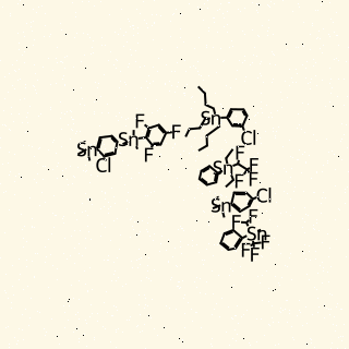 CCC[CH2][Sn]([CH2]CCC)([CH2]CCC)[c]1cccc(Cl)c1.C[CH2][Sn]([CH2]C)([c]1ccccc1)[CH](F)C(F)(F)F.[CH3][Sn]([CH3])([CH3])[c]1c(F)cc(F)cc1F.[CH3][Sn]([CH3])([CH3])[c]1ccc(Cl)cc1.[CH3][Sn]([CH3])([CH3])[c]1ccccc1Cl.[CH3][Sn]([c]1ccccc1)([CH](F)F)[C](F)(F)F